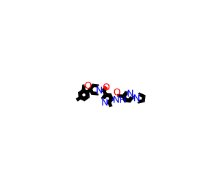 Cc1ccc2c(c1)COC21CCN(C(=O)c2cnc(C)c(NC(=O)c3ccc(N4CCCC4)nc3)c2)CC1